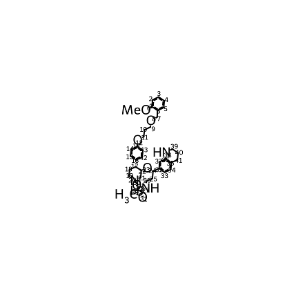 COc1ccccc1COCCCOc1ccc([C@H]2CCNC[C@@H]2OC(CCNS(C)(=O)=O)c2ccc3c(c2)NCCC3)cc1